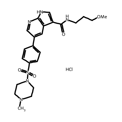 COCCCNC(=O)c1c[nH]c2ncc(-c3ccc(S(=O)(=O)N4CCN(C)CC4)cc3)cc12.Cl